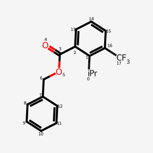 CC(C)c1c(C(=O)OCc2ccccc2)cccc1C(F)(F)F